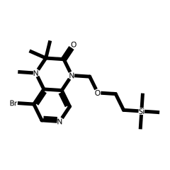 CN1c2c(Br)cncc2N(COCC[Si](C)(C)C)C(=O)C1(C)C